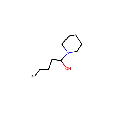 CC(C)CCCC(O)N1CCCCC1